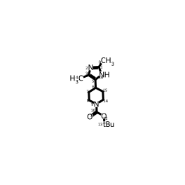 Cc1nc(C)c(C2CCN(C(=O)OC(C)(C)C)CC2)[nH]1